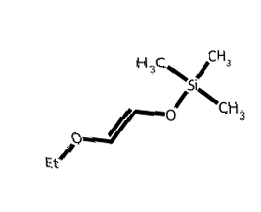 CCOC=CO[Si](C)(C)C